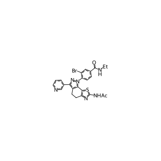 CCNC(=O)c1ccc(-n2nc(-c3cccnc3)c3c2-c2sc(NC(C)=O)nc2CC3)c(Br)c1